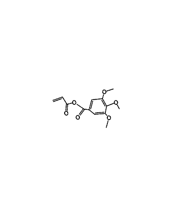 C=CC(=O)OC(=O)c1cc(OC)c(OC)c(OC)c1